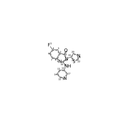 O=c1c2cc(F)ccc2nc(Nc2cccnc2)n1-c1cncs1